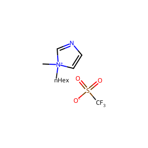 CCCCCC[N+]1(C)C=CN=C1.O=S(=O)([O-])C(F)(F)F